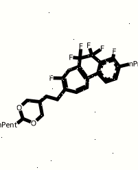 CCCCCC1OCC(CCC2=C(F)CC3=C(C=C2)c2ccc(CCC)c(F)c2C(F)(F)C3(F)F)CO1